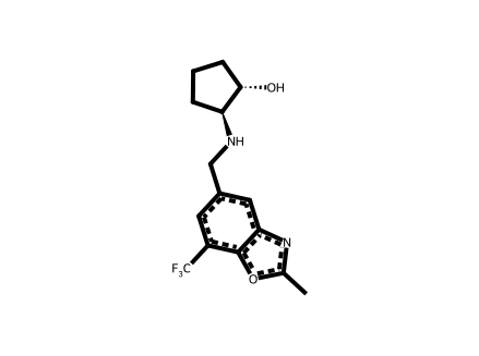 Cc1nc2cc(CN[C@H]3CCC[C@@H]3O)cc(C(F)(F)F)c2o1